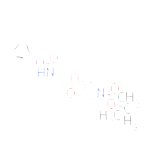 CC(C)(C)OC(=O)N1CCC2(CC1)COC(CCNC(=O)OCc1ccccc1)OC2